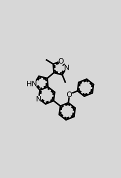 Cc1noc(C)c1-c1c[nH]c2ncc(-c3ccccc3Oc3ccccc3)cc12